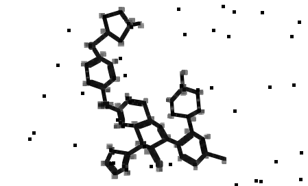 Cc1ccc(-c2cc3cnc(Nc4ccc(OC5CCN(C)C5)cc4)nc3n(-c3nccs3)c2=O)c(C2CCN(C)CC2)c1